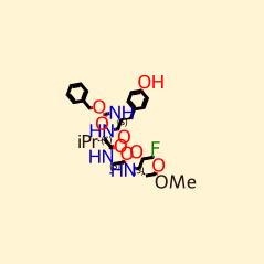 COC(=O)C[C@H](NC(=O)[C@H](C)NC(=O)[C@@H](NC(=O)[C@H](Cc1ccc(O)cc1)NC(=O)OCc1ccccc1)C(C)C)C(=O)CF